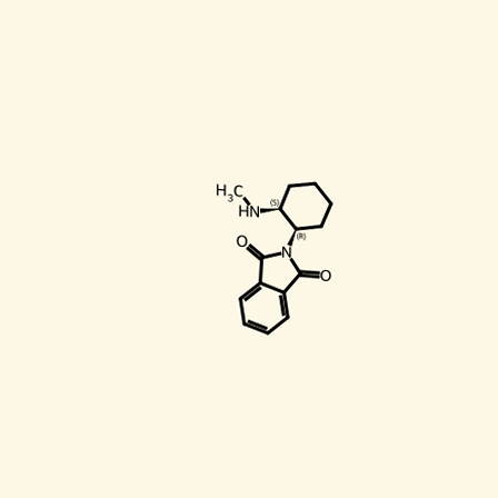 CN[C@H]1CCCC[C@H]1N1C(=O)c2ccccc2C1=O